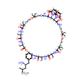 CC(C[C@@H](N)Cc1ccc2c(c1)NC(=O)C(C)NC(=O)C(C)NC(=O)C(C)(C)CCOC(C)(C)CCNC(=O)C(N1C(=O)C=CC1=O)C(N1C(=O)C=CC1=O)C(=O)NCCC(C)(C)OCCC(C)(C)C(=O)NC(C)C(=O)NC(C)C(=O)O2)C(=O)O